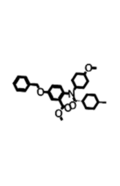 COC(=O)c1cc(OCc2ccccc2)ccc1N(C(=O)[C@H]1CC[C@H](C)CC1)C1CCC(OC)CC1